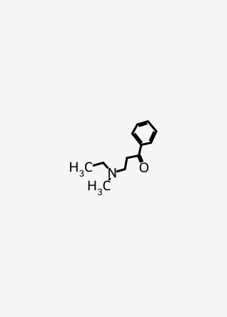 CCN(C)CCC(=O)c1ccccc1